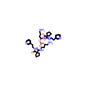 NCCCC(NC(=O)C1(C(=O)NCCc2cccnc2)CCCC1)OBOC(CCCN)NC(=O)C1(C(=O)NCCc2cccnc2)CCCC1